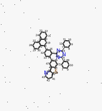 c1ccc(-c2nc(-c3ccccc3)nc(-c3cc(-c4cc5ccccc5c5ccccc45)ccc3-c3ccc4sc5cccnc5c4c3)n2)cc1